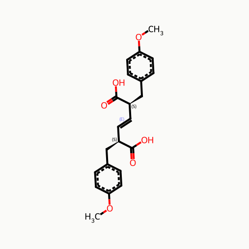 COc1ccc(C[C@@H](/C=C/[C@H](Cc2ccc(OC)cc2)C(=O)O)C(=O)O)cc1